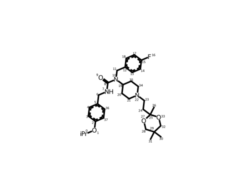 CC(C)Oc1ccc(CNC(=O)N(Cc2ccc(F)cc2)C2CCN(CCC3(C)OCC(C)(C)CO3)CC2)cc1